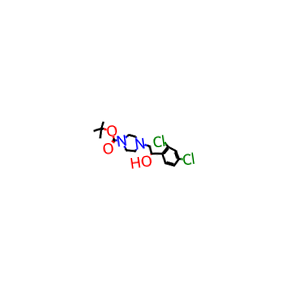 CC(C)(C)OC(=O)N1CCN(CC(O)c2ccc(Cl)cc2Cl)CC1